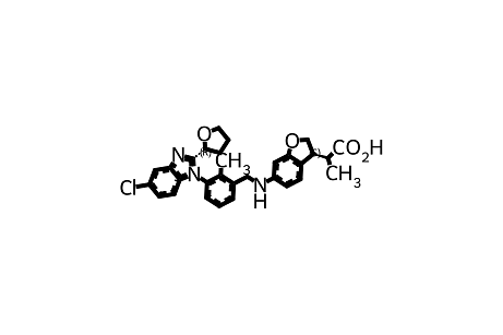 Cc1c(CNc2ccc3c(c2)OC[C@H]3C(C)C(=O)O)cccc1-n1c([C@H]2CCCO2)nc2cc(Cl)ccc21